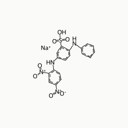 O=[N+]([O-])c1ccc(Nc2ccc(Nc3ccccc3)c(S(=O)(=O)O)c2)c([N+](=O)[O-])c1.[Na+]